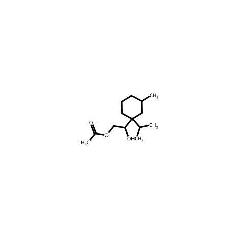 CC(=O)OCC(O)C1(C(C)C)CCCC(C)C1